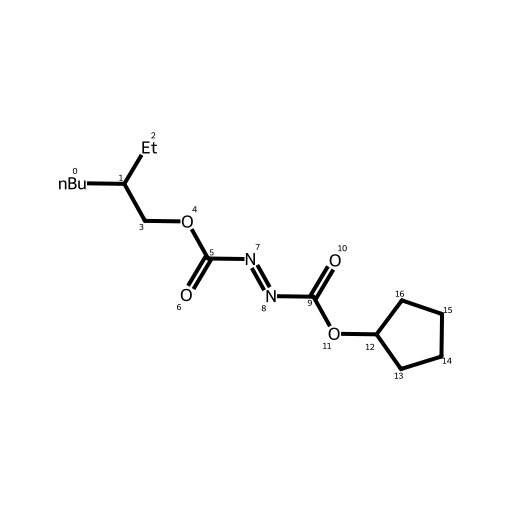 CCCCC(CC)COC(=O)/N=N/C(=O)OC1CCCC1